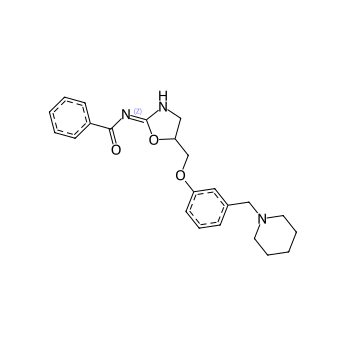 O=C(/N=C1/NCC(COc2cccc(CN3CCCCC3)c2)O1)c1ccccc1